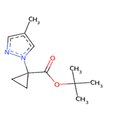 Cc1cnn(C2(C(=O)OC(C)(C)C)CC2)c1